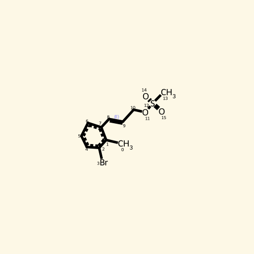 Cc1c(Br)cccc1/C=C/COS(C)(=O)=O